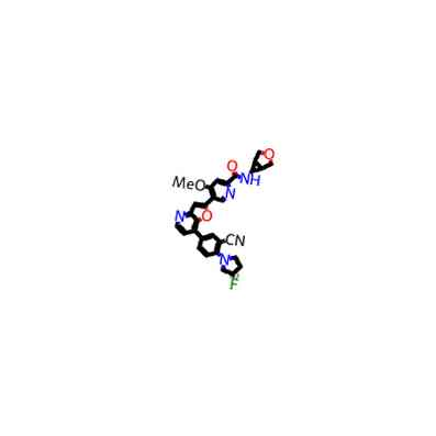 COc1cc(C(=O)NC2C3COCC32)ncc1-c1cc2nccc(-c3ccc(N4CC[C@H](F)C4)c(C#N)c3)c2o1